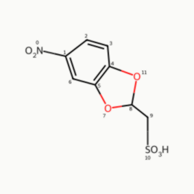 O=[N+]([O-])c1ccc2c(c1)OC(CS(=O)(=O)O)O2